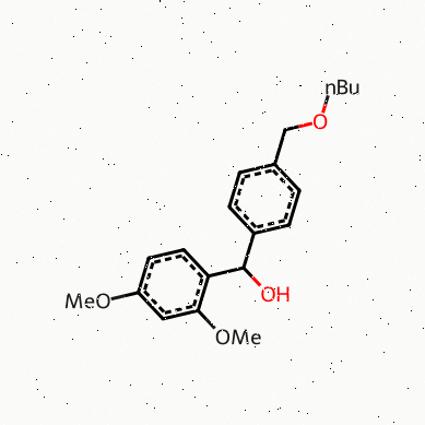 CCCCOCc1ccc(C(O)c2ccc(OC)cc2OC)cc1